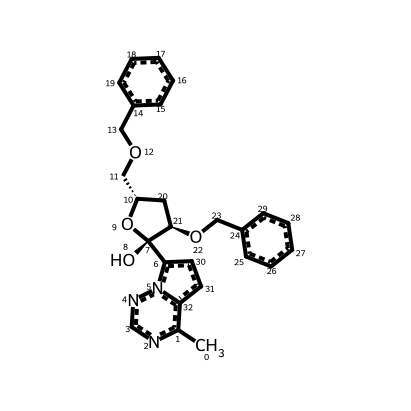 Cc1ncnn2c([C@]3(O)O[C@H](COCc4ccccc4)C[C@H]3OCc3ccccc3)ccc12